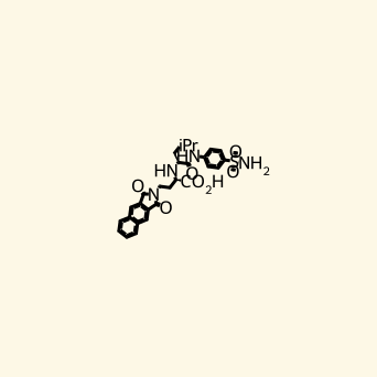 CC(C)C[C@H](N[C@H](CCN1C(=O)c2cc3ccccc3cc2C1=O)C(=O)O)C(=O)Nc1ccc(S(N)(=O)=O)cc1